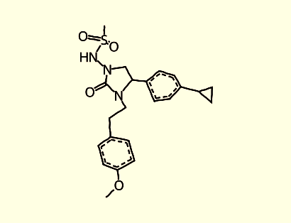 COc1ccc(CCN2C(=O)N(NS(C)(=O)=O)CC2c2ccc(C3CC3)cc2)cc1